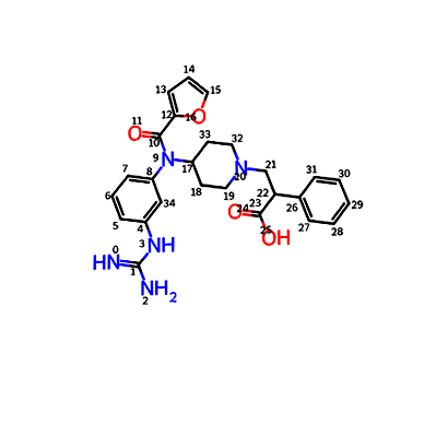 N=C(N)Nc1cccc(N(C(=O)c2ccco2)C2CCN(CC(C(=O)O)c3ccccc3)CC2)c1